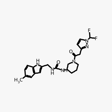 Cc1ccc2[nH]c(CNC(=O)N[C@@H]3CCCN(C(=O)Cc4ccn(C(F)F)n4)C3)cc2c1